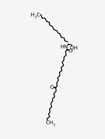 CCCCCCCCCCCCCCCC[C@H](CO)NC(=O)CCCCCCCCCCCCCCC(=O)CCCCCCCCCCCCC